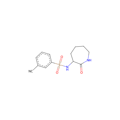 N#Cc1cccc(S(=O)(=O)NC2CCCCNC2=O)c1